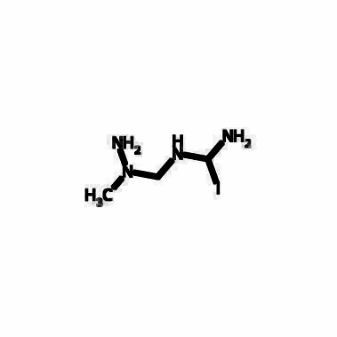 CN(N)CNC(N)I